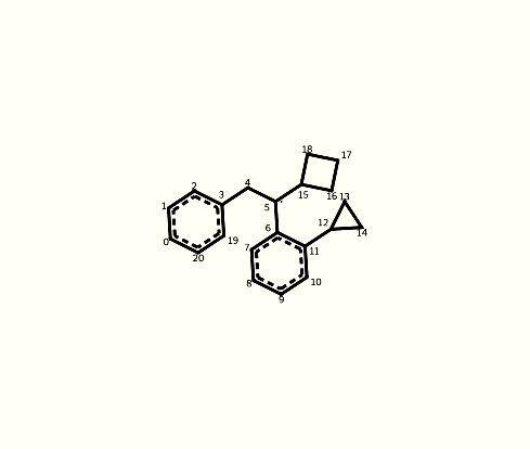 c1ccc(C[C](c2ccccc2C2CC2)C2CCC2)cc1